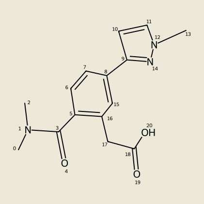 CN(C)C(=O)c1ccc(-c2ccn(C)n2)cc1CC(=O)O